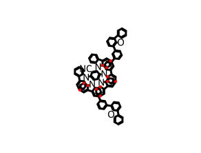 N#Cc1c(-n2c3ccccc3c3ccccc32)c(-n2c3ccccc3c3cc(-c4cccc(-c5cccc6c5oc5ccccc56)c4)ccc32)c(-n2c3ccccc3c3ccccc32)c(-n2c3ccccc3c3cc(-c4cccc(-c5cccc6c5oc5ccccc56)c4)ccc32)c1-n1c2ccccc2c2ccccc21